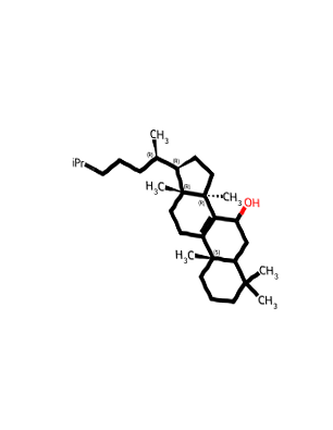 CC(C)CCC[C@@H](C)[C@H]1CC[C@@]2(C)C3=C(CC[C@]12C)[C@@]1(C)CCCC(C)(C)C1CC3O